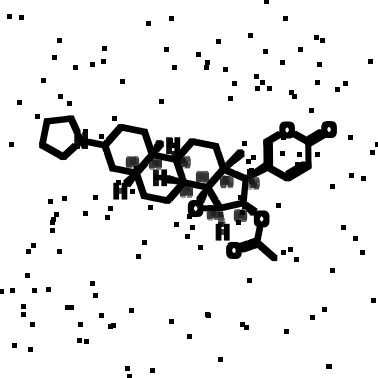 CC(=O)O[C@H]1[C@H]2O[C@]23[C@@H]2CC[C@@H]4CC(N5CCCC5)CC[C@]4(C)[C@H]2CC[C@]3(C)[C@H]1c1ccc(=O)oc1